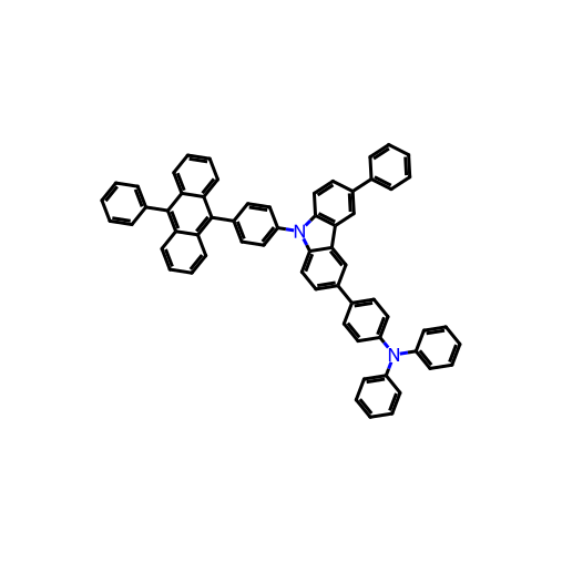 c1ccc(-c2ccc3c(c2)c2cc(-c4ccc(N(c5ccccc5)c5ccccc5)cc4)ccc2n3-c2ccc(-c3c4ccccc4c(-c4ccccc4)c4ccccc34)cc2)cc1